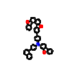 c1ccc2c(-c3ccc(N(c4ccc(-c5ccc6c(c5)oc5ccc7ccc8oc9ccccc9c8c7c56)cc4)c4ccc5c(c4)oc4ccccc45)cc3)cccc2c1